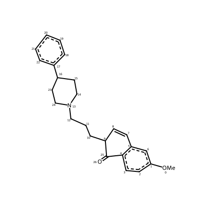 COc1ccc2c(c1)C=CC(CCCN1CCC(c3ccccc3)CC1)C2=O